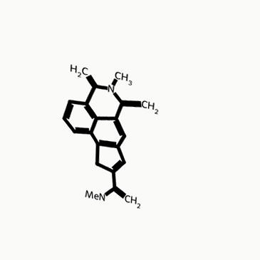 C=C(NC)C1=Cc2cc3c4c(cccc4c2C1)C(=C)N(C)C3=C